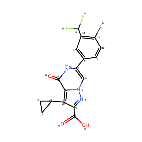 O=C(O)c1nn2cc(-c3ccc(Cl)c(C(F)F)c3)[nH]c(=O)c2c1C1CC1